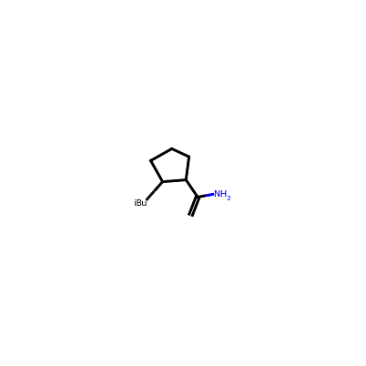 C=C(N)C1CCCC1C(C)CC